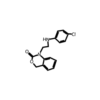 O=C1OCc2ccccc2N1CCNc1ccc(Cl)cc1